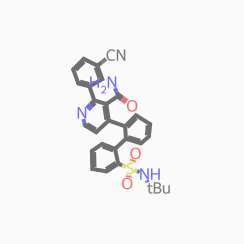 CC(C)(C)NS(=O)(=O)c1ccccc1-c1ccccc1-c1ccnc(-c2cccc(C#N)c2)c1C(N)=O